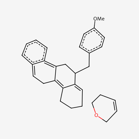 C1=CCOCC1.COc1ccc(CC2CC3=c4ccccc4=CCC3=C3CCCC=C32)cc1